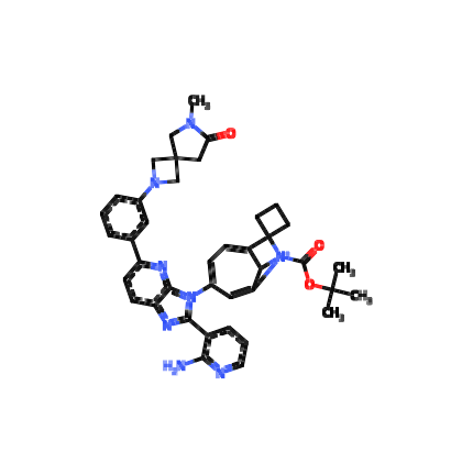 CN1CC2(CC1=O)CN(c1cccc(-c3ccc4nc(-c5cccnc5N)n(C5=CC=C6C7C(=C5)[N+]7(C(=O)OC(C)(C)C)C65CCC5)c4n3)c1)C2